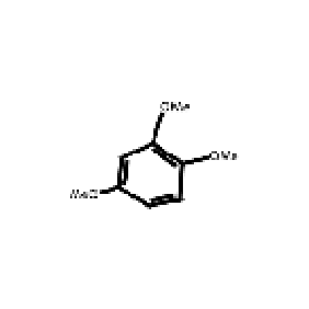 COc1[c]c(OC)c(OC)[c]c1